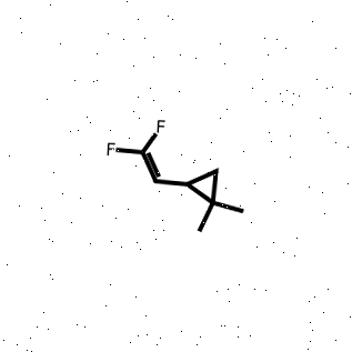 CC1(C)CC1C=C(F)F